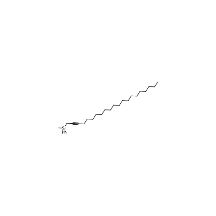 CCCCCCCCCCCCCCCCCCC#CC[SiH](C)C